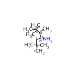 C[C@@H]([C@H](N)CC(C)(C)C)C(C)(C)C